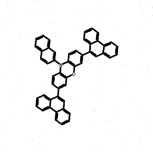 c1ccc2cc(N3c4ccc(-c5cc6ccccc6c6ccccc56)cc4Oc4cc(-c5cc6ccccc6c6ccccc56)ccc43)ccc2c1